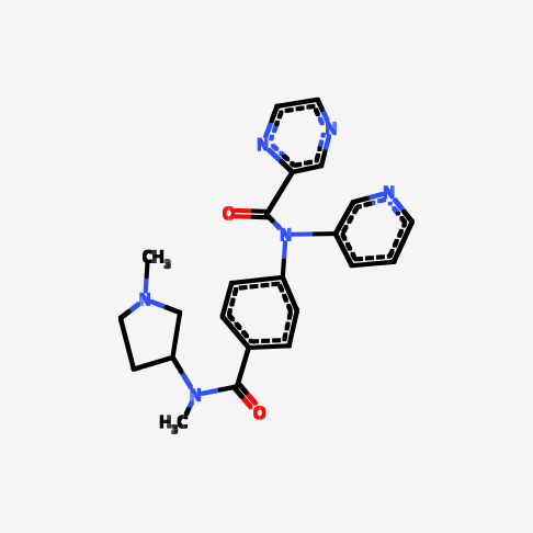 CN1CCC(N(C)C(=O)c2ccc(N(C(=O)c3cnccn3)c3cccnc3)cc2)C1